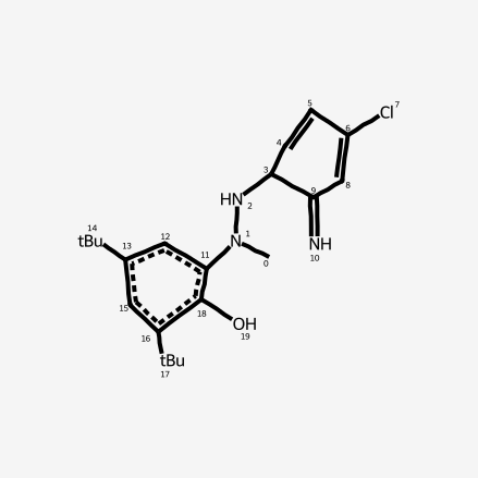 CN(NC1C=CC(Cl)=CC1=N)c1cc(C(C)(C)C)cc(C(C)(C)C)c1O